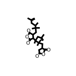 C=C(C)CC(C)C(C)(C)CC1C(=O)OC(=O)C1C(C)(CC(=C)C)C(C)(C)CC1CC(=O)OC1=O